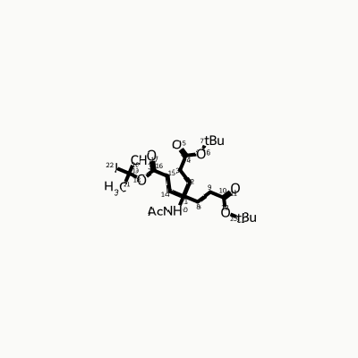 CC(=O)NC(CCC(=O)OC(C)(C)C)(CCC(=O)OC(C)(C)C)CCC(=O)OC(C)(C)I